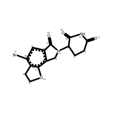 O=C1CCC(N2Cc3c(cc(Br)c4c3OCC4)C2=O)C(=O)N1